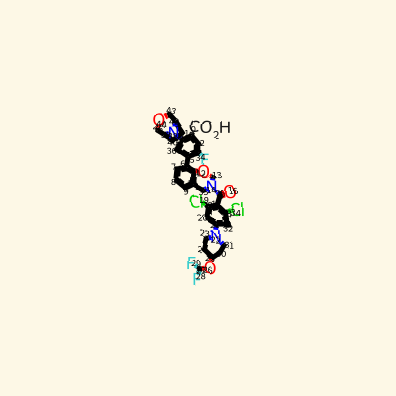 O=C(O)c1cc(F)c(-c2cccc3c2OCN(C(=O)c2c(Cl)cc(N4CCC(OC(F)F)CC4)cc2Cl)C3)cc1N1C2CCC1COC2